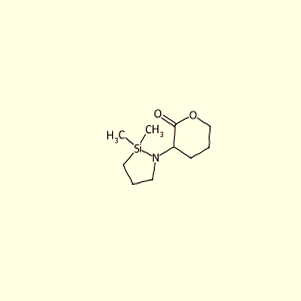 C[Si]1(C)CCCN1C1CCCOC1=O